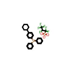 O=S(=O)([O-])C(F)(F)C(F)C(F)(F)F.c1ccc([S+](c2ccccc2)c2ccc(C3CCCCC3)cc2)cc1